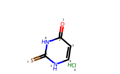 Cl.O=c1cc[nH]c(=S)[nH]1